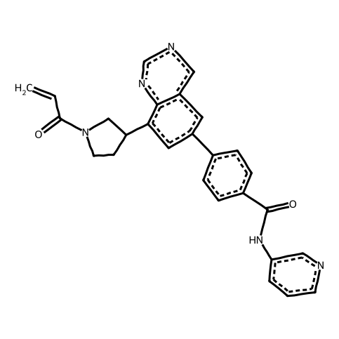 C=CC(=O)N1CCC(c2cc(-c3ccc(C(=O)Nc4cccnc4)cc3)cc3cncnc23)C1